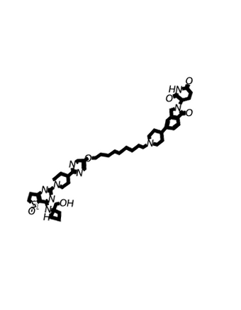 O=C1CCC(N2Cc3cc(C4CCN(CCCCCCCCCOc5cnc(C6CCN(c7nc8c(c(NC9(CO)CCC9)n7)[S@+]([O-])CC8)CC6)nc5)CC4)ccc3C2=O)C(=O)N1